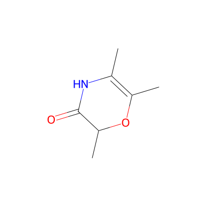 CC1=C(C)OC(C)C(=O)N1